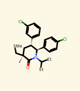 CCC(CC)N1C(=O)[C@@](C)(CSC)C[C@H](c2cccc(Cl)c2)[C@H]1c1ccc(Cl)cc1